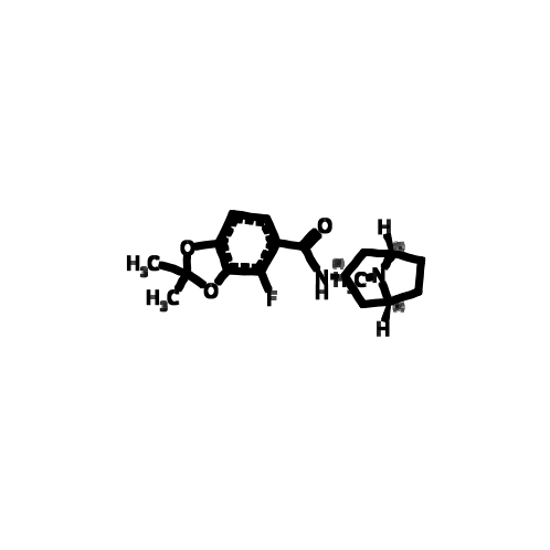 CN1[C@@H]2CC[C@H]1C[C@@H](NC(=O)c1ccc3c(c1F)OC(C)(C)O3)C2